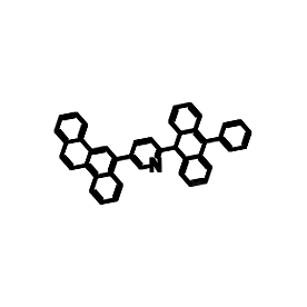 C1=CC2=C(c3ccccc3)c3ccccc3C(c3ccc(-c4cc5c6ccccc6ccc5c5ccccc45)cn3)C2C=C1